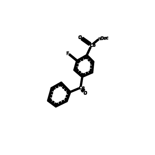 CCCCCCCCC[CH2][Co](=[O])[c]1cc[c]([Co](=[O])[c]2ccccc2)cc1F